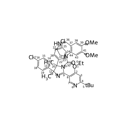 CCOc1cc(C(C)(C)C)ncc1C1=NC(C)(c2ccc(Cl)cc2)C(C)(c2ccc(Cl)cc2)N1C(=O)N1CCNCc2cc(OC)c(OC)cc21